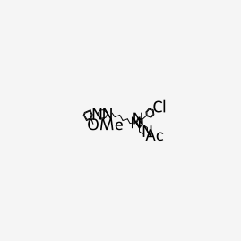 COc1ccccc1N1CCN(CCCCCCn2nc(-c3ccc(Cl)cc3)c3c2CCN(C(C)=O)C3)CC1